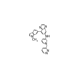 Cn1ccc2ccc(-c3cc(NC4=CC=CN(Cc5cccnn5)C4)cc4nccnc34)cc21